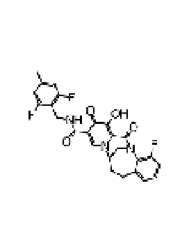 Cc1cc(F)c(CNC(=O)c2cn3c(c(O)c2=O)C(=O)N2CC3CCc3cccc(F)c32)c(F)c1